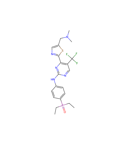 CCP(=O)(CC)c1ccc(Nc2ncc(C(F)(F)F)c(-c3ncc(CN(C)C)s3)n2)cc1